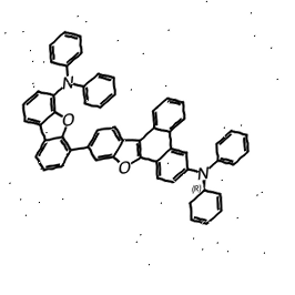 C1=CC[C@@H](N(c2ccccc2)c2ccc3c(c2)c2ccccc2c2c4ccc(-c5cccc6c5oc5c(N(c7ccccc7)c7ccccc7)cccc56)cc4oc32)C=C1